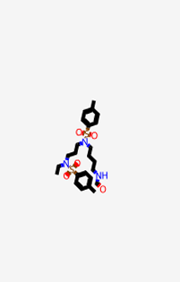 CCN(CCCN(CCCCNC=O)S(=O)(=O)c1ccc(C)cc1)S(=O)(=O)c1ccc(C)cc1